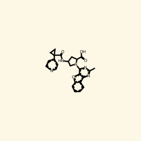 Cc1nc(N2CC(NC(=O)C3(c4ccncc4)CC3)CC2C(=O)O)c2oc3ccccc3c2n1